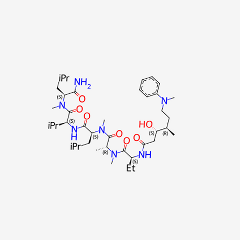 CC[C@H](NC(=O)C[C@H](O)[C@H](C)CCN(C)c1ccccc1)C(=O)N(C)[C@H](C)C(=O)N(C)[C@@H](CC(C)C)C(=O)N[C@H](C(=O)N(C)[C@@H](CC(C)C)C(N)=O)C(C)C